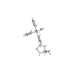 C1CC[NH2+]C1.N#C[B-](F)(C#N)C#N